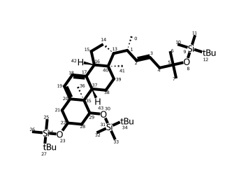 C[C@H](C=CCC(C)(C)O[Si](C)(C)C(C)(C)C)[C@H]1CC[C@H]2C3=CC=C4CC(O[Si](C)(C)C(C)(C)C)CC(O[Si](C)(C)C(C)(C)C)[C@]4(C)[C@H]3CC[C@]12C